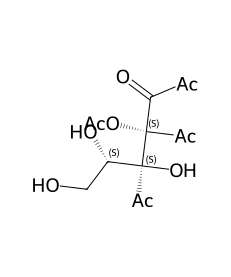 CC(=O)O[C@@](C(C)=O)(C(=O)C(C)=O)[C@](O)(C(C)=O)[C@@H](O)CO